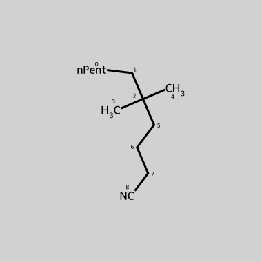 CCCCCCC(C)(C)CCCC#N